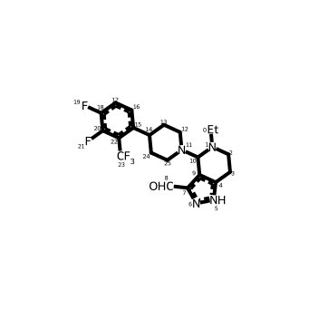 CCN1CCc2[nH]nc(C=O)c2C1N1CCC(c2ccc(F)c(F)c2C(F)(F)F)CC1